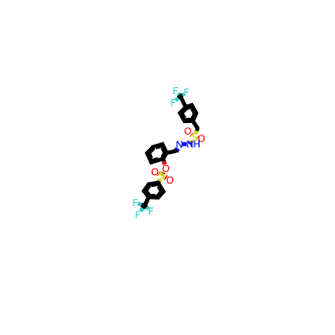 O=S(=O)(Cc1ccc(C(F)(F)F)cc1)NN=Cc1ccccc1OS(=O)(=O)c1ccc(C(F)(F)F)cc1